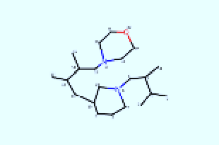 CC(C)C(C)CN1CCCC(CC(C)C(C)CN2CCOCC2)C1